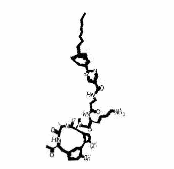 CCCCCCCCc1ccc(-c2ncc(C(=O)NCCC(=O)N[C@@H](CCCCN)C(=O)N(C)[C@@H]3C(=O)N[C@@H](C)C(=O)N[C@H](C(C)=O)Cc4ccc(O)c(c4)-c4cc3ccc4O)cn2)cc1